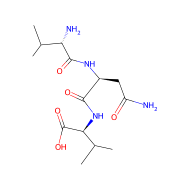 CC(C)[C@H](N)C(=O)N[C@@H](CC(N)=O)C(=O)N[C@H](C(=O)O)C(C)C